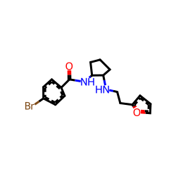 O=C(NC1CCCC1NCCc1ccco1)c1ccc(Br)cc1